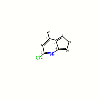 Cc1cc(Cl)nc2c1=CCC=2